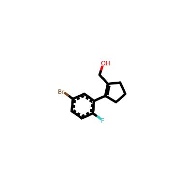 OCC1=C(c2cc(Br)ccc2F)CCC1